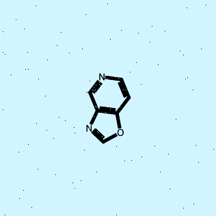 [c]1nccc2ocnc12